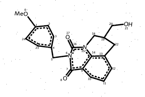 COc1ccc(Cn2c(=O)c3cccc4c3n(c2=O)CC(CO)C4)cc1